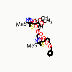 CSc1nc(CC(=O)OC[C@H]2OC(O)(c3scc4c(SC)ncnc34)[C@@H]3OC(C)(C)O[C@@H]32)nc2c(C3(O)CC[C@@H](COCc4ccccc4)O3)scc12